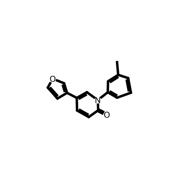 Cc1cccc(-n2cc(-c3ccoc3)ccc2=O)c1